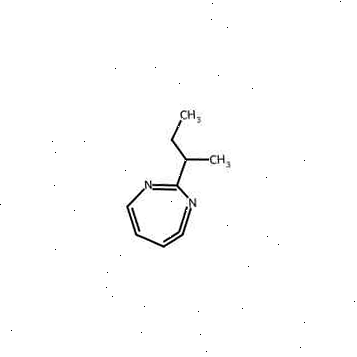 CCC(C)C1=NC=CC=C=N1